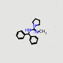 C/N=C(/NC(c1ccccc1)c1ccccc1)N1CCCC1